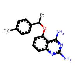 CCC(Oc1cccc2nc(N)nc(N)c12)c1ccc(C(F)(F)F)cc1